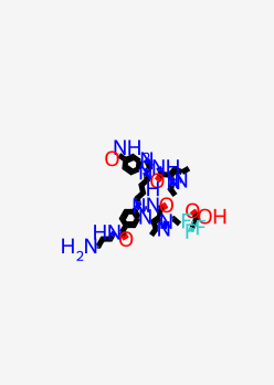 CCn1nc(C)cc1C(=O)Nc1nc2cc(C(N)=O)ccc2n1CCCCn1c(NC(=O)c2cc(C)nn2CC)nc2cc(C(=O)NCCCN)ccc21.O=C(O)C(F)(F)F